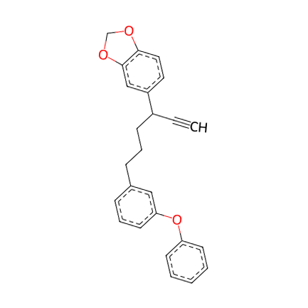 C#CC(CCCc1cccc(Oc2ccccc2)c1)c1ccc2c(c1)OCO2